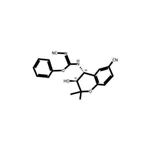 CC1(C)Oc2ccc(C#N)cc2[C@@H](NC(=NC#N)Oc2ccccc2)[C@@H]1O